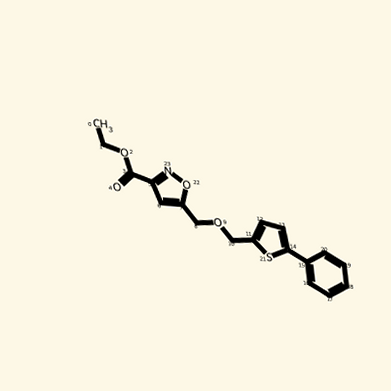 CCOC(=O)c1cc(COCc2ccc(-c3ccccc3)s2)on1